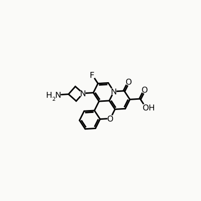 NC1CN(c2c(F)cn3c(=O)c(C(=O)O)cc4c3c2-c2ccccc2O4)C1